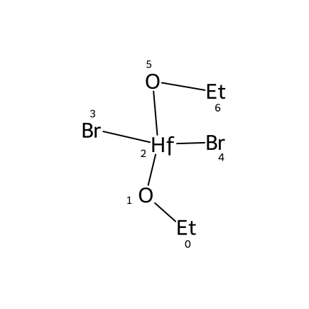 CC[O][Hf]([Br])([Br])[O]CC